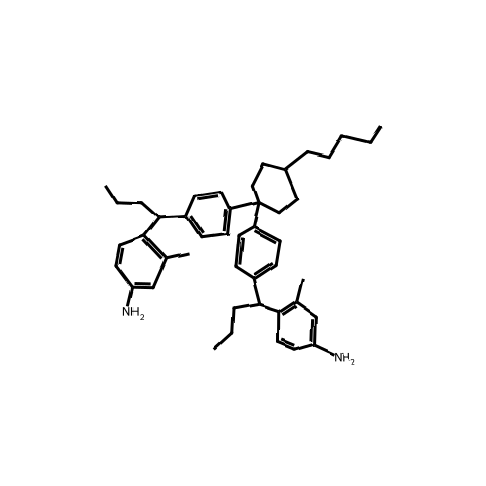 CCCCCC1CCC(c2ccc(C(CCC)c3ccc(N)cc3C)cc2)(c2ccc(C(CCC)c3ccc(N)cc3C)cc2)CC1